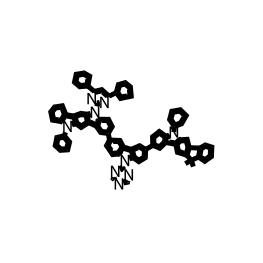 CC1(C)c2ccccc2-c2cc3c(cc21)c1cc(-c2ccc4c(c2)c2cc(-c5ccc6c(c5)c5cc7c(cc5n6-c5nc(-c6ccccc6)cc(-c6ccccc6)n5)c5ccccc5n7-c5ccccc5)ccc2n4-c2ncncn2)ccc1n3-c1ccccc1